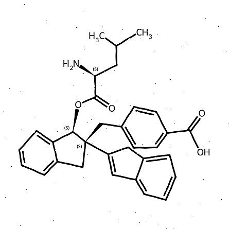 CC(C)C[C@H](N)C(=O)O[C@@H]1c2ccccc2C[C@@]1(Cc1ccc(C(=O)O)cc1)C1=Cc2ccccc2C1